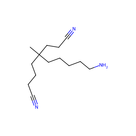 CC(CCC#N)(CCCC#N)CCCCCN